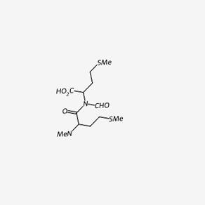 CNC(CCSC)C(=O)N(C=O)C(CCSC)C(=O)O